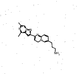 Cc1cn2nc(C3=CCN4C=C(CCCN)C=CC4=N3)cc2c(C)n1